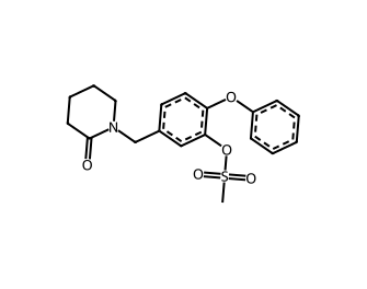 CS(=O)(=O)Oc1cc(CN2CCCCC2=O)ccc1Oc1ccccc1